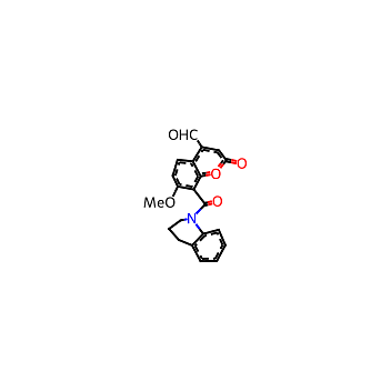 COc1ccc2c(C=O)cc(=O)oc2c1C(=O)N1CCCc2ccccc21